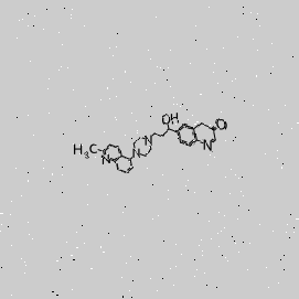 Cc1ccc2c(N3CCN(CCC(O)c4ccc5c(c4)CC(=O)C=N5)CC3)cccc2n1